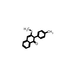 CSC1=Cc2ccccc2C(=O)C1c1ccc(C)cc1